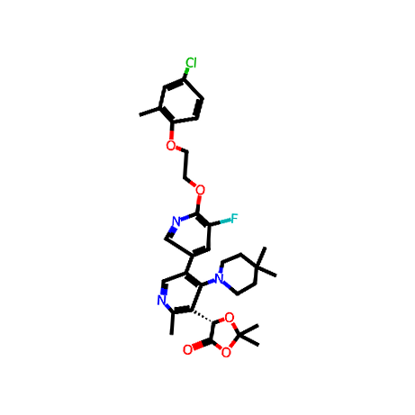 Cc1cc(Cl)ccc1OCCOc1ncc(-c2cnc(C)c([C@@H]3OC(C)(C)OC3=O)c2N2CCC(C)(C)CC2)cc1F